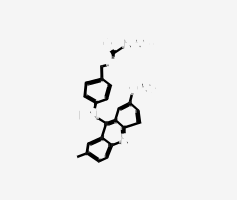 CNC(=O)OCc1ccc(Nc2c3cc(C)ccc3nc3ccc(OC)cc23)cc1